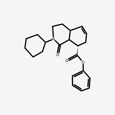 O=C(Oc1ccccc1)[C@H]1CC=CC2CCN(C3CCCCC3)C(=O)C21